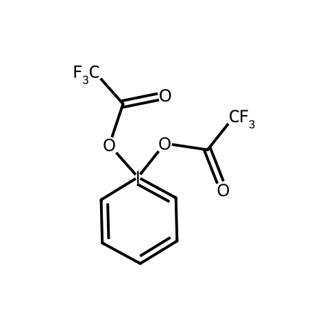 O=C(OI1(OC(=O)C(F)(F)F)=CC=CC=C1)C(F)(F)F